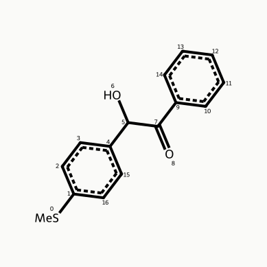 CSc1ccc(C(O)C(=O)c2ccccc2)cc1